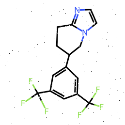 FC(F)(F)c1cc(C2CCc3nccn3C2)cc(C(F)(F)F)c1